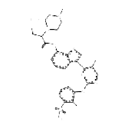 CCC(C(=O)Nc1cccc2c(-c3nc(Nc4cccc(S(C)(=O)=O)c4F)ncc3F)c[nH]c12)N1CCN(C)C[C@H]1C